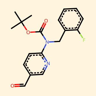 CC(C)(C)OC(=O)N(Cc1ccccc1F)c1ccc(C=O)cn1